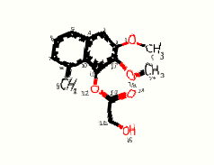 COc1cc2cccc(C)c2c(OC(=O)CO)c1OC